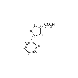 O=C(O)[C@H]1CC[C@@H](c2ccccc2)C1